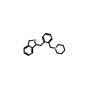 c1ccc(CN2CCCCC2)c(CC2NCc3ccccc32)c1